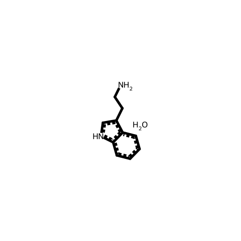 NCCc1c[nH]c2ccccc12.O